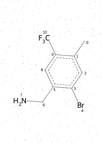 Cc1cc(Br)c(CN)cc1C(F)(F)F